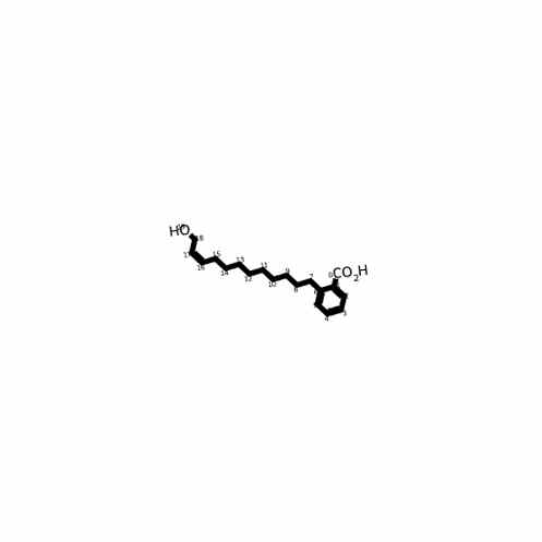 O=C(O)c1ccccc1CCCCCCCCC/C=C\CO